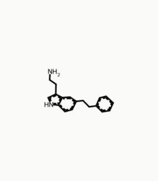 NCCc1c[nH]c2ccc(CCc3ccccc3)cc12